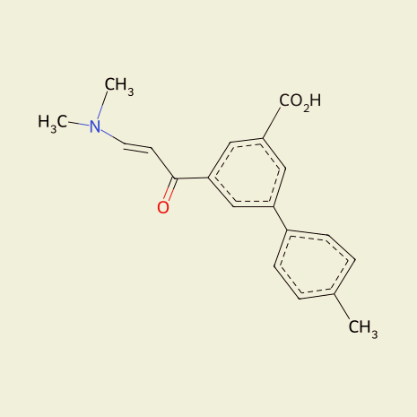 Cc1ccc(-c2cc(C(=O)O)cc(C(=O)/C=C/N(C)C)c2)cc1